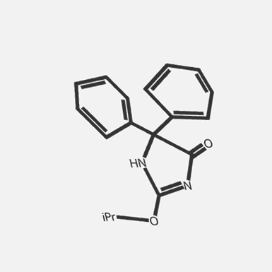 CC(C)OC1=NC(=O)C(c2ccccc2)(c2ccccc2)N1